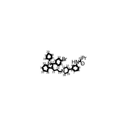 CC(C)C(=O)Nc1cccc(C2CCN(CCCc3c(-c4ccc(Br)cc4)n(-c4ccccc4)c4ccccc34)CC2)c1